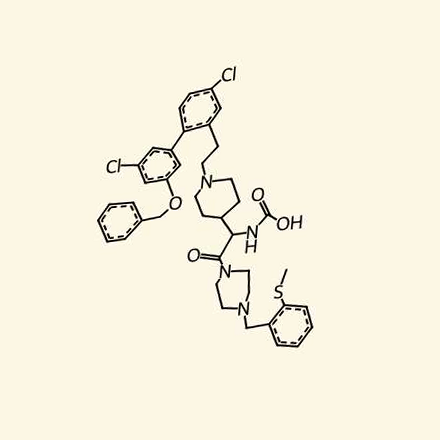 CSc1ccccc1CN1CCN(C(=O)C(NC(=O)O)C2CCN(CCc3cc(Cl)ccc3-c3cc(Cl)cc(OCc4ccccc4)c3)CC2)CC1